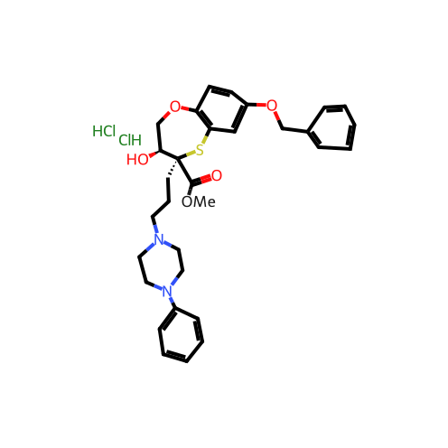 COC(=O)[C@]1(CCCN2CCN(c3ccccc3)CC2)Sc2cc(OCc3ccccc3)ccc2OC[C@@H]1O.Cl.Cl